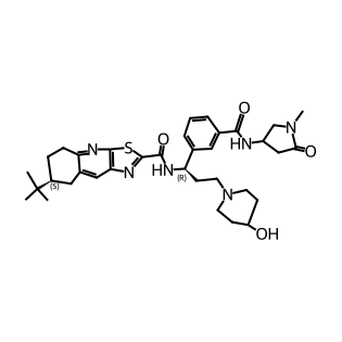 CN1CC(NC(=O)c2cccc([C@@H](CCN3CCC(O)CC3)NC(=O)c3nc4cc5c(nc4s3)CC[C@H](C(C)(C)C)C5)c2)CC1=O